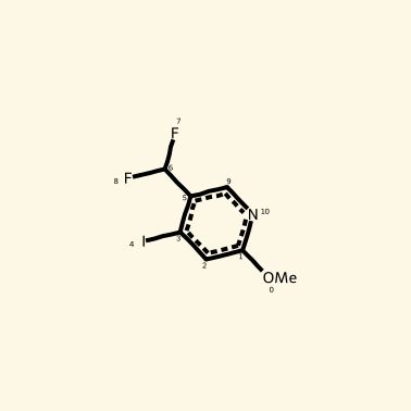 COc1cc(I)c(C(F)F)cn1